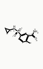 Cc1ccc(S(=O)(=O)NC2CC2)cc1C(N)=O